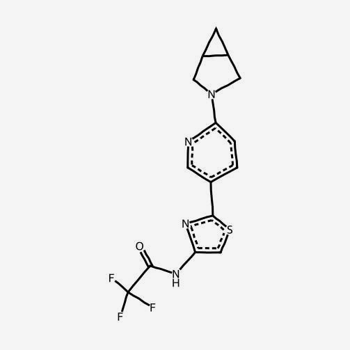 O=C(Nc1csc(-c2ccc(N3CC4CC4C3)nc2)n1)C(F)(F)F